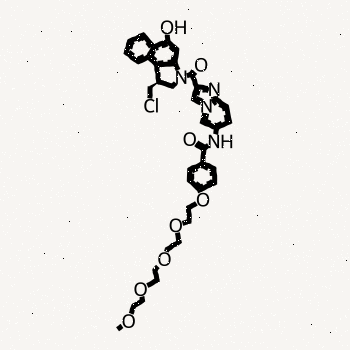 COCCOCCOCCOCCOc1ccc(C(=O)Nc2ccc3nc(C(=O)N4C[C@@H](CCl)c5c4cc(O)c4ccccc54)cn3c2)cc1